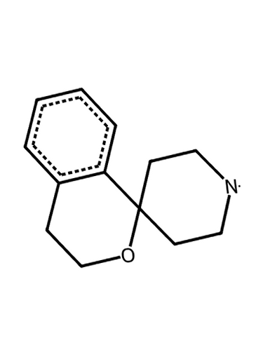 c1ccc2c(c1)CCOC21CC[N]CC1